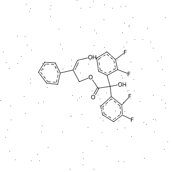 O=C(OCC(=CO)c1ccccc1)C(O)(c1cccc(F)c1F)c1cccc(F)c1F